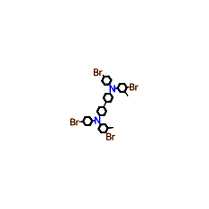 Cc1cc(N(c2ccc(Br)cc2)c2ccc(-c3ccc(N(c4ccc(Br)cc4)c4ccc(Br)c(C)c4)cc3)cc2)ccc1Br